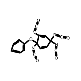 O=C=NC1=CC(N=C=O)(N=C=O)C=CC1(N=C=O)Oc1ccccc1